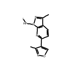 Cc1nocc1-c1ccc2c(C)nn(PI)c2n1